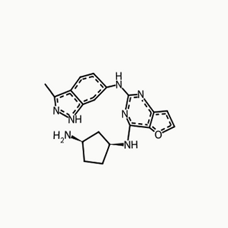 Cc1n[nH]c2cc(Nc3nc(N[C@H]4CC[C@@H](N)C4)c4occc4n3)ccc12